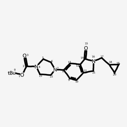 CC(C)(C)OC(=O)N1CCN(c2ccc3c(c2)C(=O)N(CC2CC2)C3)CC1